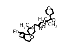 CCc1cc2c(s1)CCO[C@@]21CCN(Cc2cn(C(C)(C)C(=O)N3CCOCC3)nn2)[C@@H](C)C1